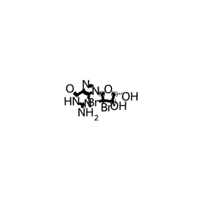 Nc1nc2c(ncn2[C@@H]2O[C@H](CO)[C@@H](O)C2(Br)Br)c(=O)[nH]1